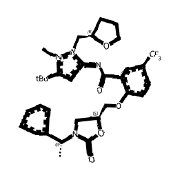 C[C@H](c1ccccc1)N1C[C@@H](COc2ccc(C(F)(F)F)cc2C(=O)N=c2cc(C(C)(C)C)n(C)n2C[C@H]2CCCO2)OC1=O